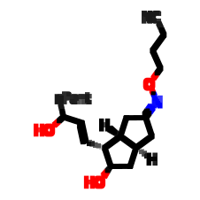 CCCCCC(O)C=C[C@@H]1[C@@H]2C/C(=N\OCCCC#N)C[C@H]2C[C@H]1O